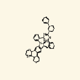 c1ccc(-c2cccc(-c3nc(-c4ccccc4)nc(-c4ccccc4-n4c5ccccc5c5cc6c7ccccc7c7nccnc7c6cc54)n3)c2)cc1